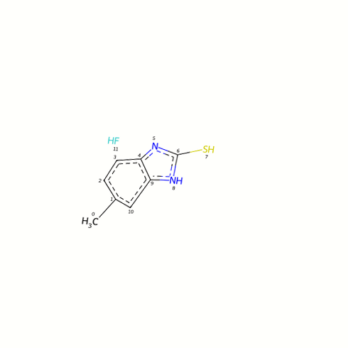 Cc1ccc2nc(S)[nH]c2c1.F